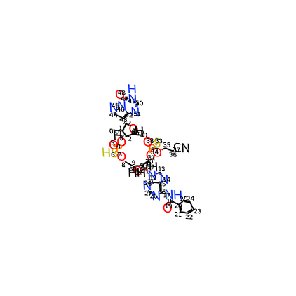 C[C@@H]1[C@@H]2OP(=O)(S)OC[C@H]3O[C@@H](n4cnc5c(NC(=O)c6ccccc6)ncnc54)[C@H](OP(=S)(OCCC#N)OC[C@H]2O[C@H]1c1cnn2c(=O)[nH]cnc12)[C@@H]3C